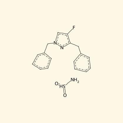 Fc1cn(Cc2ccccc2)nc1Cc1ccccc1.N[SH](=O)=O